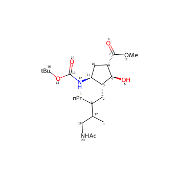 CCCC(C[C@H]1[C@H](O)[C@@H](C(=O)OC)C[C@@H]1NC(=O)OC(C)(C)C)C(C)CNC(C)=O